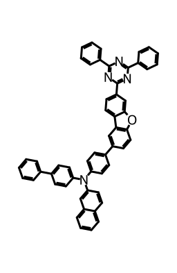 c1ccc(-c2ccc(N(c3ccc(-c4ccc5oc6cc(-c7nc(-c8ccccc8)nc(-c8ccccc8)n7)ccc6c5c4)cc3)c3ccc4ccccc4c3)cc2)cc1